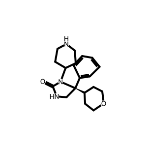 O=C1NC[C@](c2ccccc2)(C2CCOCC2)N1C1CCNCC1